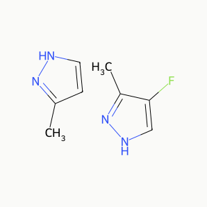 Cc1cc[nH]n1.Cc1n[nH]cc1F